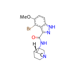 COc1ccc2[nH]nc(C(=O)N[C@@H]3CN4CCC3CC4)c2c1Br